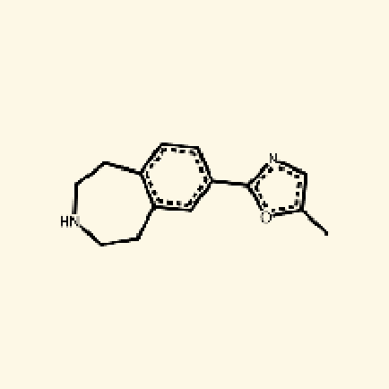 Cc1cnc(-c2ccc3c(c2)CCNCC3)o1